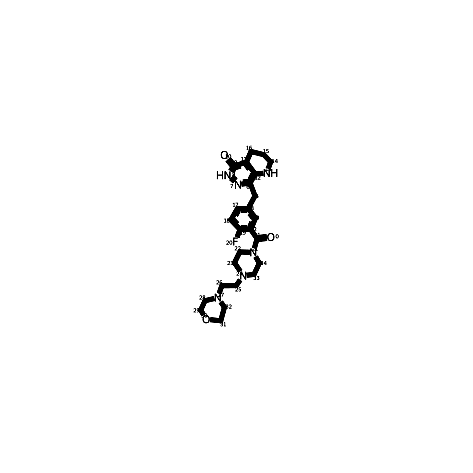 O=C(c1cc(Cc2n[nH]c(=O)c3c2NCCC3)ccc1F)N1CCN(CCN2CCOCC2)CC1